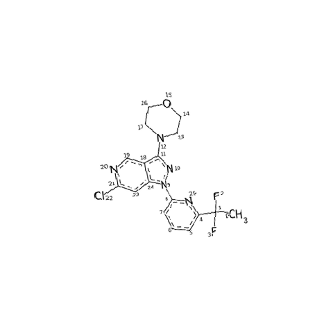 CC(F)(F)c1cccc(-n2nc(N3CCOCC3)c3cnc(Cl)cc32)n1